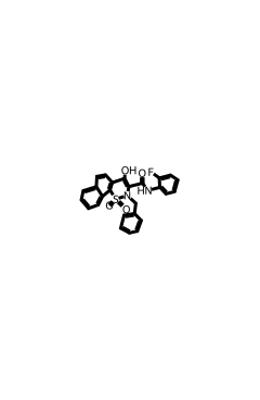 O=C(Nc1ccccc1F)C1=C(O)c2ccc3ccccc3c2S(=O)(=O)N1Cc1ccccc1